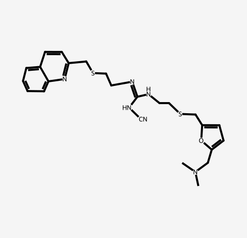 CN(C)Cc1ccc(CSCCNC(=NCCSCc2ccc3ccccc3n2)NC#N)o1